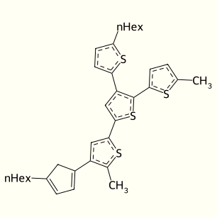 CCCCCCC1=CC=C(c2cc(-c3cc(-c4ccc(CCCCCC)s4)c(-c4ccc(C)s4)s3)sc2C)C1